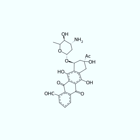 CC(=O)[C@]1(O)Cc2c(O)c3c(c(O)c2[C@@H](O[C@H]2C[C@@H](N)[C@H](O)C(C)O2)C1)C(=O)c1c(C=O)cccc1C3=O